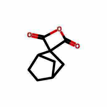 O=C1OC(=O)C12CC1CCC2C1